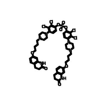 O=C1CCc2ccc(OCCCCN3CCN(c4ccc(OS(=O)(=O)Oc5ccc(N6CCN(CCCCOc7ccc8c(c7)NC(=O)CC8)CC6)c(Cl)c5Cl)c(Cl)c4Cl)CC3)cc2N1